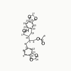 CC(=O)OCC(Cc1ccc2c(c1)OCO2)C(CO)Cc1ccc2c(c1)OCO2